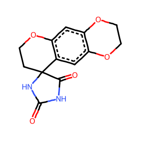 O=C1NC(=O)C2(CCOc3cc4c(cc32)OCCO4)N1